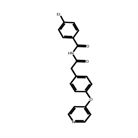 CCc1ccc(C(=O)NC(=O)Cc2ccc(Oc3ccncc3)cc2)cc1